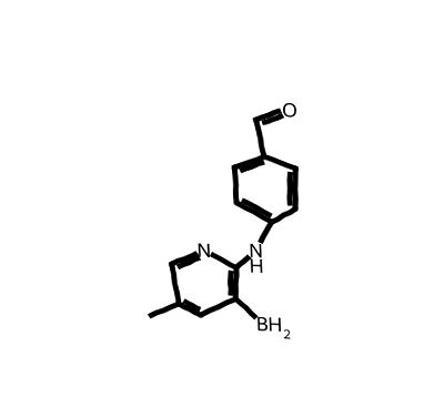 Bc1cc(C)cnc1Nc1ccc(C=O)cc1